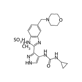 CS(=O)(=O)O.O=C(Nc1c[nH]nc1-c1nc2cc(CN3CCOCC3)ccc2[nH]1)NC1CC1